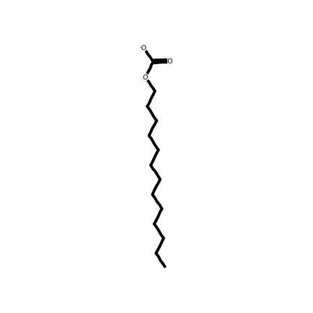 CCCCCCCCCCCCCOC([O])=O